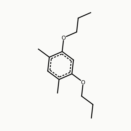 CCCOc1cc(OCCC)c(C)cc1C